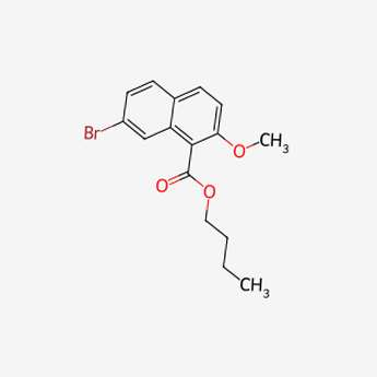 CCCCOC(=O)c1c(OC)ccc2ccc(Br)cc12